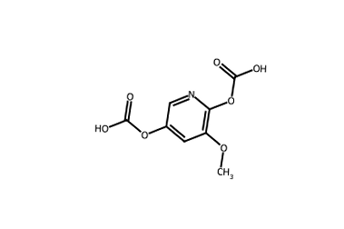 COc1cc(OC(=O)O)cnc1OC(=O)O